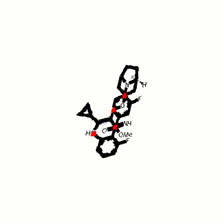 COC(=O)c1ccc(N2C3CC[C@H]2CC(OC/C(C(=N)c2c(F)cccc2F)=C(/O)C2CC2)C3)c(F)c1